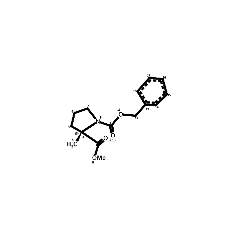 COC(=O)[C@]1(C)CCCN1C(=O)OCc1ccccc1